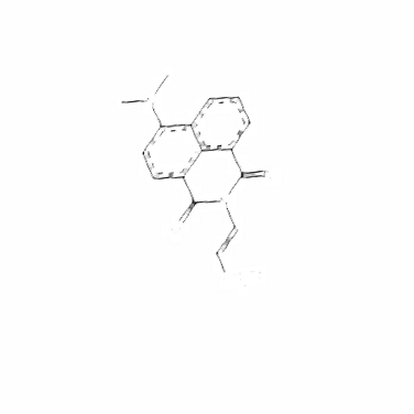 CCOC(=O)C=CN1C(=O)c2cccc3c(N(C)C)ccc(c23)C1=O